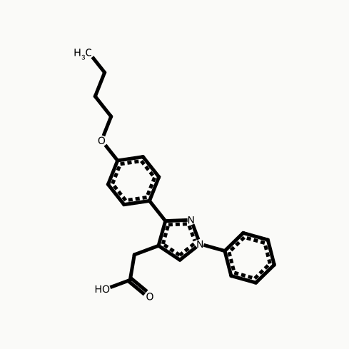 CCCCOc1ccc(-c2nn(-c3ccccc3)cc2CC(=O)O)cc1